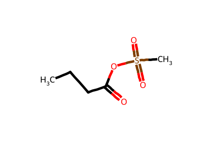 CCCC(=O)OS(C)(=O)=O